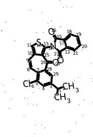 CC(C)c1cc(Cl)c2ccc3csc(N4C(=O)c5ccccc5C4=O)c3c(=O)c2c1